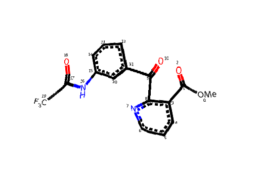 COC(=O)c1cccnc1C(=O)c1cccc(NC(=O)C(F)(F)F)c1